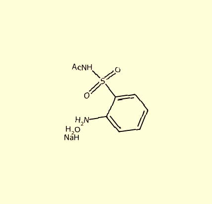 CC(=O)NS(=O)(=O)c1ccccc1N.O.[NaH]